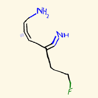 N=C(/C=C\N)CCF